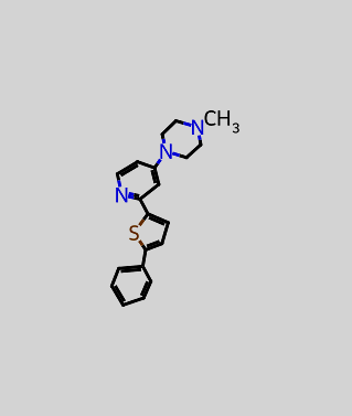 CN1CCN(c2ccnc(-c3ccc(-c4ccccc4)s3)c2)CC1